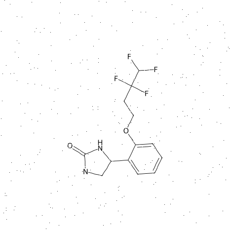 O=C1[N]CC(c2ccccc2OCCC(F)(F)C(F)F)N1